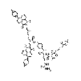 CC(C)C(NC(=O)CCCCC(=O)OC(C)(C)C)C(=O)N[C@@H](CCCNC(N)=O)C(=O)Nc1ccc(COC(=O)N(CCCNCCN2C(=O)c3cccc4c(N5CCN(C)CC5)ccc(c34)C2=O)CCN2C(=O)c3cccc4c(N5CCN(C)CC5)ccc(c34)C2=O)cc1